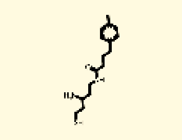 Cc1ccc(CCCC(=O)NCCC(N)CCS)cc1